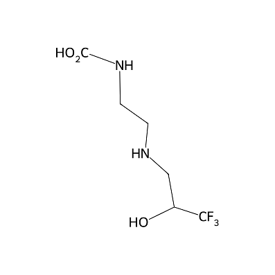 O=C(O)NCCNCC(O)C(F)(F)F